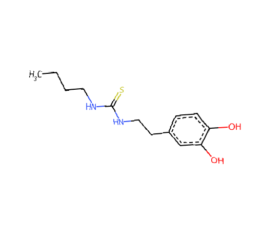 CCCCNC(=S)NCCc1ccc(O)c(O)c1